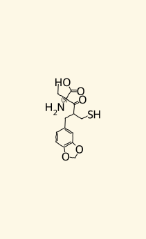 CC[C@@](N)(C(=O)O)C(=O)C(CS)Cc1ccc2c(c1)OCO2